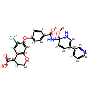 COC1(NC(=O)c2ccc(Oc3cc4c(cc3Cl)C(C(=O)O)CCO4)cc2)C=CC(c2cccnc2)=CN1